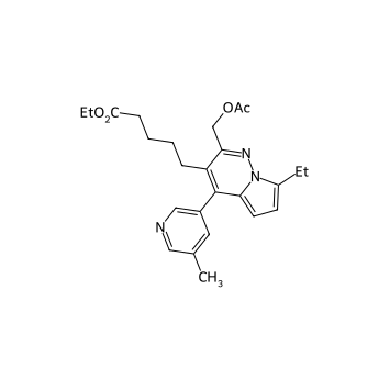 CCOC(=O)CCCCc1c(COC(C)=O)nn2c(CC)ccc2c1-c1cncc(C)c1